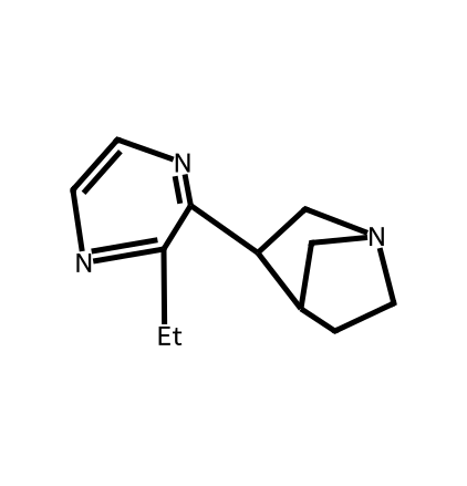 CCc1nccnc1C1CN2CCC1C2